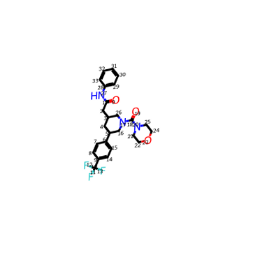 O=C(CC1CC(c2ccc(C(F)(F)F)cc2)CN(C(=O)N2CCOCC2)C1)Nc1ccccc1